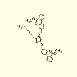 CCCCCCCc1nc(SCc2ccc(-c3ccccc3C(=O)OC)cc2)nn1SCc1ccc(-c2ccccc2C(=O)OC)cc1